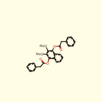 COc1c(OC)c(OC(=O)Cc2ccccc2)c2ccccc2c1OC(=O)Cc1ccccc1